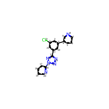 Clc1cc(-c2cccnc2)cc(-c2nnn(-c3ccccn3)n2)c1